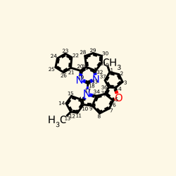 Cc1ccc2oc3ccc4c5cc(C)ccc5n(-c5nc(-c6ccccc6)c6ccccc6n5)c4c3c2c1